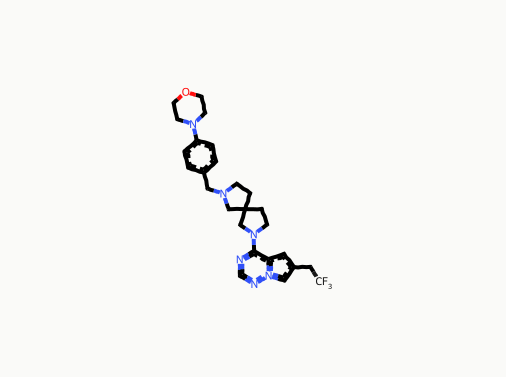 FC(F)(F)Cc1cc2c(N3CCC4(CCN(Cc5ccc(N6CCOCC6)cc5)C4)C3)ncnn2c1